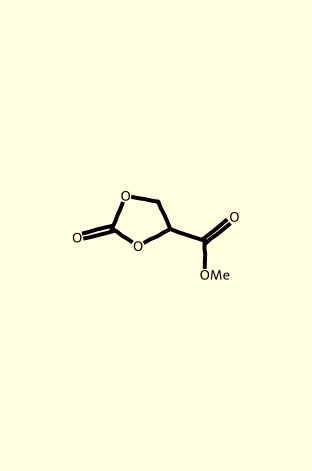 COC(=O)C1COC(=O)O1